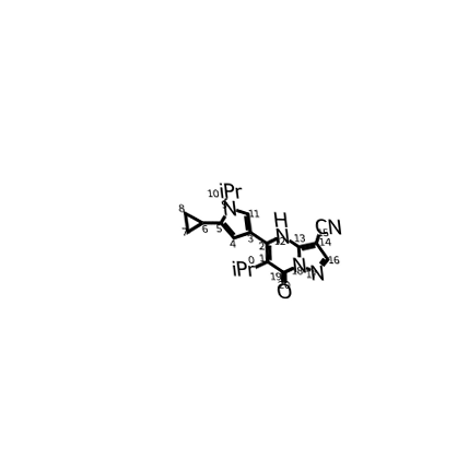 CC(C)c1c(-c2cc(C3CC3)n(C(C)C)c2)[nH]c2c(C#N)cnn2c1=O